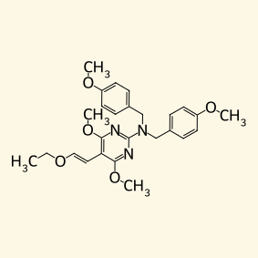 CCOC=Cc1c(OC)nc(N(Cc2ccc(OC)cc2)Cc2ccc(OC)cc2)nc1OC